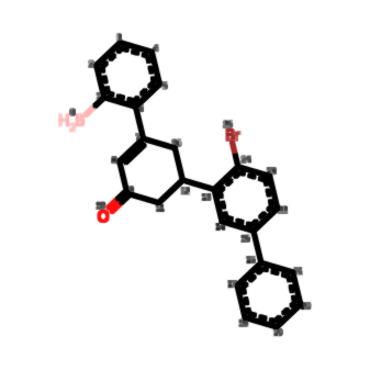 Bc1ccccc1C1=CC(=O)CC(c2cc(-c3ccccc3)ccc2Br)C1